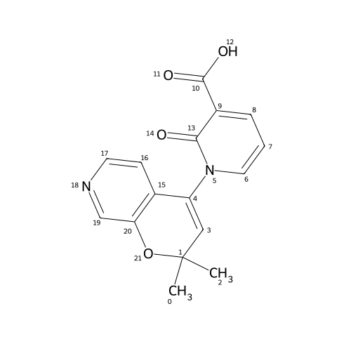 CC1(C)C=C(n2cccc(C(=O)O)c2=O)c2ccncc2O1